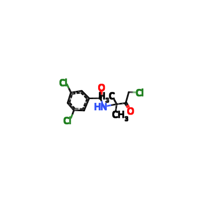 CC(C)(NC(=O)c1cc(Cl)cc(Cl)c1)C(=O)CCl